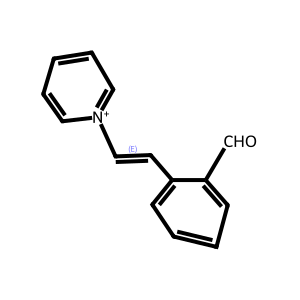 O=Cc1ccccc1/C=C/[n+]1ccccc1